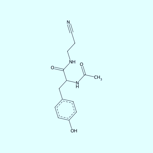 CC(=O)NC(Cc1ccc(O)cc1)C(=O)NCCC#N